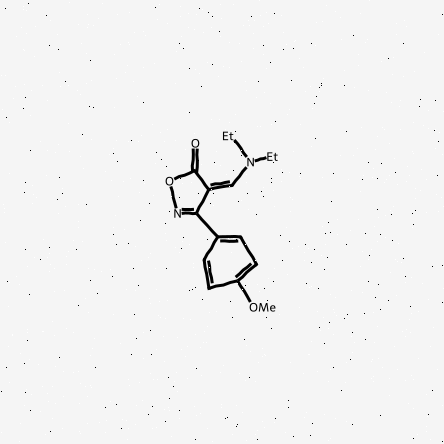 CCN(/C=C1\C(=O)ON=C1c1ccc(OC)cc1)CC